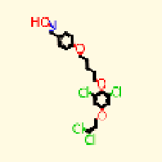 ON=Cc1ccc(OCCCCCOc2c(Cl)cc(OCC=C(Cl)Cl)cc2Cl)cc1